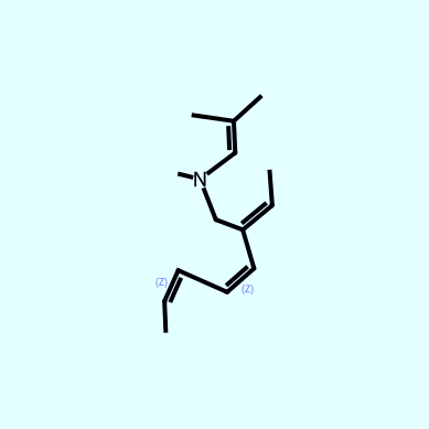 CC=C(/C=C\C=C/C)CN(C)C=C(C)C